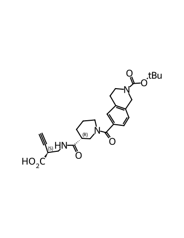 C#C[C@@H](CNC(=O)[C@@H]1CCCN(C(=O)c2ccc3c(c2)CCN(C(=O)OC(C)(C)C)C3)C1)C(=O)O